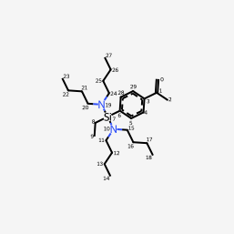 C=C(C)c1ccc([Si](CC)(N(CCCC)CCCC)N(CCCC)CCCC)cc1